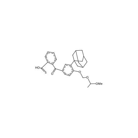 COC(C)OCOc1ccc(C(=O)c2ccccc2C(O)=S)cc1C12CC3CC(CC(C3)C1)C2